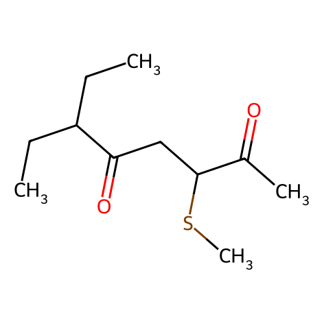 CCC(CC)C(=O)CC(SC)C(C)=O